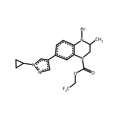 CC(=O)N1c2ccc(-c3cnn(C4CC4)c3)cc2N(C(=O)OCC(F)(F)F)CC1C